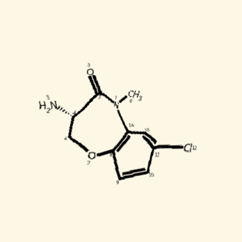 CN1C(=O)[C@@H](N)COc2ccc(Cl)cc21